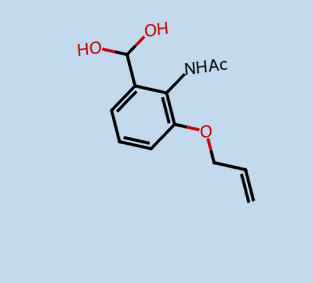 C=CCOc1cccc(C(O)O)c1NC(C)=O